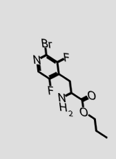 CCCOC(=O)C(N)Cc1c(F)cnc(Br)c1F